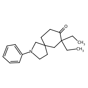 CCC1(CC)CC2(CCC1=O)CCN(c1ccccc1)C2